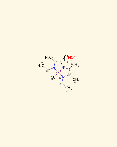 CCN(CC)[P+](C)(N(CC)CC)N(CC)CC.[OH-]